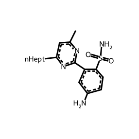 CCCCCCCc1cc(C)nc(-c2cc(N)ccc2S(N)(=O)=O)n1